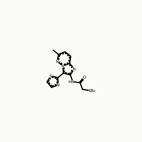 Cc1ccc2nc(NC(=O)CC(C)(C)C)c(-c3nccs3)n2n1